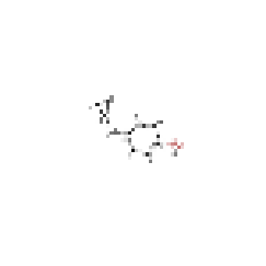 BrC1=CCC(=CC2CC2)C=C1